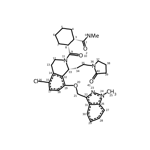 CNC(=O)[C@H]1CCCC[C@H]1C(=O)N1CCc2c(Cl)ccc(OCc3nn(C)c4ccccc34)c2[C@H]1CCN1CCCC1=O